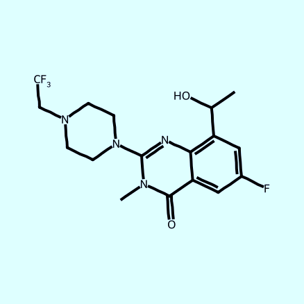 CC(O)c1cc(F)cc2c(=O)n(C)c(N3CCN(CC(F)(F)F)CC3)nc12